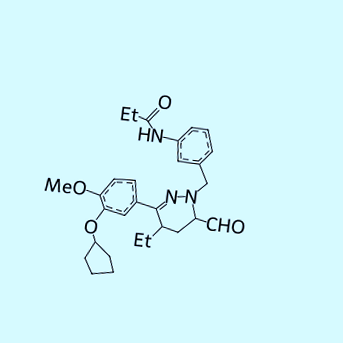 CCC(=O)Nc1cccc(CN2N=C(c3ccc(OC)c(OC4CCCC4)c3)C(CC)CC2C=O)c1